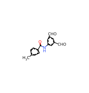 Cc1ccc(C(=O)Nc2cc(C=O)cc(C=O)c2)cc1